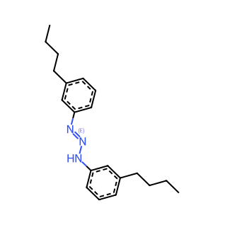 CCCCc1cccc(/N=N/Nc2cccc(CCCC)c2)c1